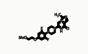 COCCOc1cc(F)c(N2CCN(c3cn4c(C)ncc4c(=O)[nH]3)CC2)c(F)c1